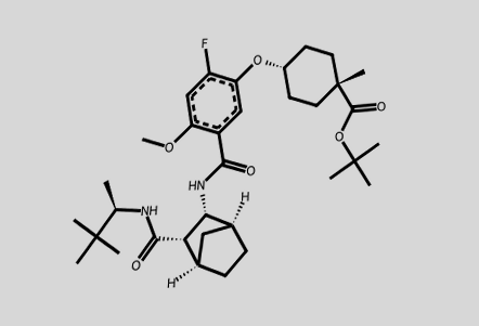 COc1cc(F)c(O[C@H]2CC[C@@](C)(C(=O)OC(C)(C)C)CC2)cc1C(=O)N[C@@H]1[C@H]2CC[C@H](C2)[C@@H]1C(=O)N[C@H](C)C(C)(C)C